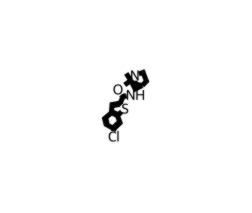 CC1(C)[C@@H](NC(=O)c2cc3ccc(Cl)cc3s2)C2CCN1C2